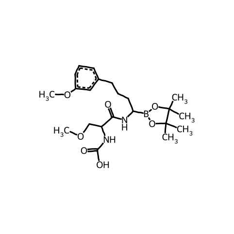 COCC(NC(=O)O)C(=O)NC(CCCc1cccc(OC)c1)B1OC(C)(C)C(C)(C)O1